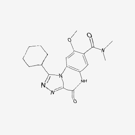 COc1cc2c(cc1C(=O)N(C)C)[nH]c(=O)c1nnc(C3CCCCC3)n12